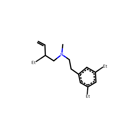 C=CC(CC)CN(C)CCc1cc(CC)cc(CC)c1